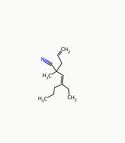 C=CCC(C)(C#N)/C=C(/CC)CCC